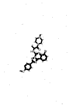 COc1ccc(-c2nc3c4cccc(Br)c4nc(NC(C)C(=O)N4CCN(C)CC4)n3n2)cc1